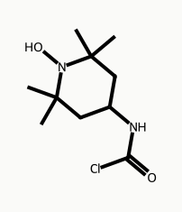 CC1(C)CC(NC(=O)Cl)CC(C)(C)N1O